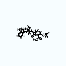 C=CC(N)(Cc1c[nH]c2ccccc12)C(=O)NC1C(=O)N2C(C(=O)O)=C(COC(C)=O)CSC12